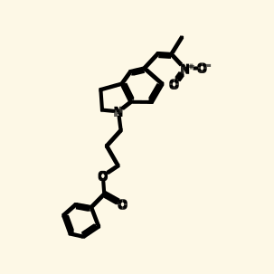 CC(=Cc1ccc2c(c1)CCN2CCCOC(=O)c1ccccc1)[N+](=O)[O-]